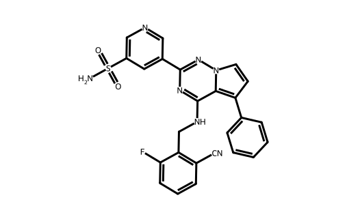 N#Cc1cccc(F)c1CNc1nc(-c2cncc(S(N)(=O)=O)c2)nn2ccc(-c3ccccc3)c12